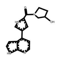 O=C(c1cc(-c2ccnc3[nH]ccc23)c[nH]1)N1CCC(O)C1